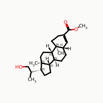 COC(=O)C1=C[C@@H]2CC[C@@H]3[C@H](CC[C@]4(C)[C@@H](C(C)CO)CC[C@@H]34)[C@@]2(C)CC1